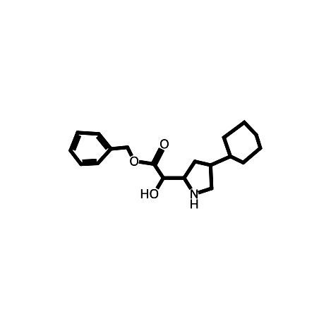 O=C(OCc1ccccc1)C(O)C1CC(C2CCCCC2)CN1